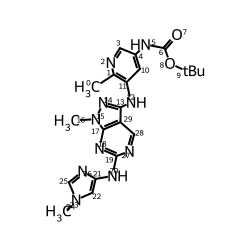 Cc1ncc(NC(=O)OC(C)(C)C)cc1Nc1nn(C)c2nc(Nc3cn(C)cn3)ncc12